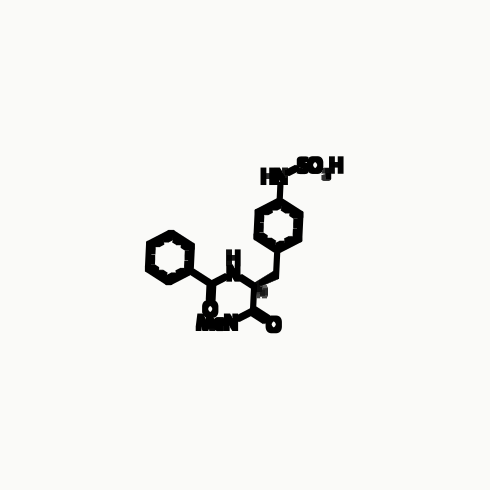 CNC(=O)[C@H](Cc1ccc(NS(=O)(=O)O)cc1)NC(=O)c1ccccc1